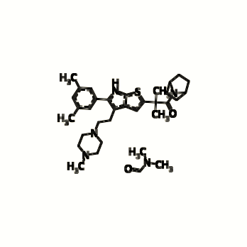 CN(C)C=O.Cc1cc(C)cc(-c2[nH]c3sc(C(C)(C)C(=O)N4C5CCC4CC5)cc3c2CCN2CCN(C)CC2)c1